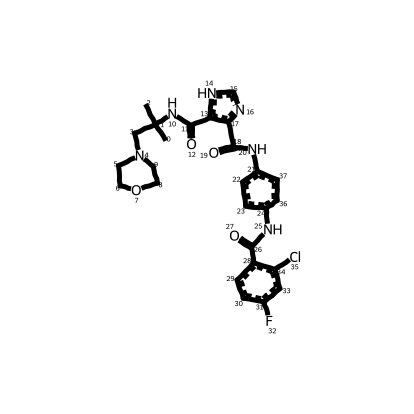 CC(C)(CN1CCOCC1)NC(=O)c1[nH]cnc1C(=O)Nc1ccc(NC(=O)c2ccc(F)cc2Cl)cc1